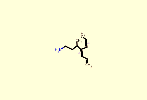 C=C/C=C(\C=C/C)C(C)CCN